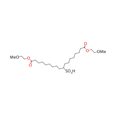 COCCOC(=O)CCCCCCCCC(CCCCCCCC(=O)OCCOC)S(=O)(=O)O